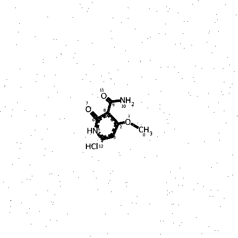 COc1cc[nH]c(=O)c1C(N)=O.Cl